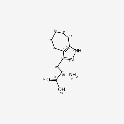 N[C@@H](Cc1n[nH]c2c1CCCCC2)C(=O)O